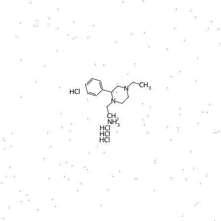 CCN1CCN(CC)C(c2ccccc2)C1.Cl.Cl.Cl.Cl.N